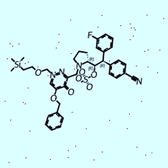 C[Si](C)(C)CCOCn1cc(OCc2ccccc2)c(=O)c(C(=O)N2CCC[C@@H]2[C@H](OS(C)(=O)=O)[C@H](c2ccc(C#N)cc2)c2cccc(F)c2)n1